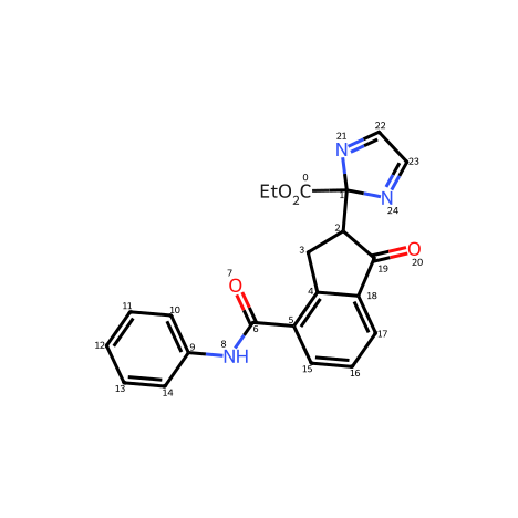 CCOC(=O)C1(C2Cc3c(C(=O)Nc4ccccc4)cccc3C2=O)N=CC=N1